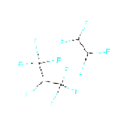 FC(C(F)(F)F)C(F)(F)F.FC(F)C(F)F